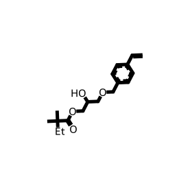 C=Cc1ccc(COCC(O)COC(=O)C(C)(C)CC)cc1